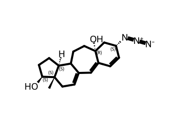 C[C@]12CC=C3C=C4C=C[C@@H](N=[N+]=[N-])C[C@]4(O)CCC3[C@@H]1CC[C@@H]2O